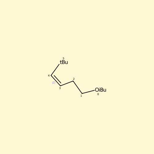 CC(C)COCC/C=C\C(C)(C)C